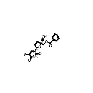 C#C[C@@]1(COC(=O)c2ccccc2)C=C[C@H](n2cc(F)c(=O)[nH]c2=O)O1